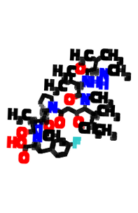 CC[C@H](C)C(C(CC(=O)N1CCC[C@H]1[C@H](OC)[C@@H](C)C(=O)N[C@@H](Cc1ccc(F)cc1)C(=O)O)OC)N(C)C(=O)[C@@H](NC(=O)[C@@H](NC)C(C)C)C(C)C